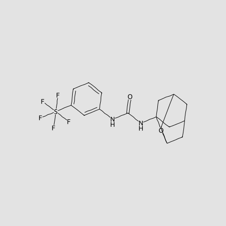 O=C(Nc1cccc(S(F)(F)(F)(F)F)c1)NC12CC3CC(CC(C3)O1)C2